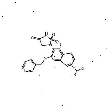 O=C1CN(c2c(OCc3ccccc3)cc3cc(C(O)O)ccc3c2F)S(=O)(=O)N1